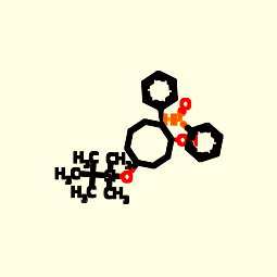 CC(C)(C)[Si](C)(C)OC1CCC[C@](c2ccccc2)([PH](=O)c2ccccc2)[C@H](O)CC1